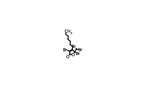 CCCCCCCC1=C(Br)C(=O)OC1(Br)C(Br)Br